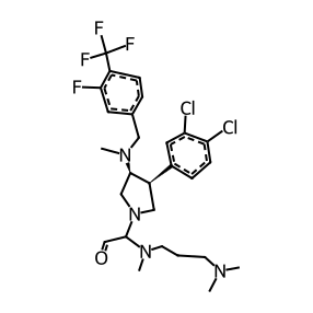 CN(C)CCCN(C)C(C=O)N1C[C@H](c2ccc(Cl)c(Cl)c2)[C@H](N(C)Cc2ccc(C(F)(F)F)c(F)c2)C1